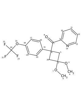 COC1(OC)CC(C(=O)c2ccccn2)(c2ccc(OC(F)(F)F)cc2)C1